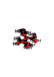 CCC(C)(CO)C(=O)OCC(C)(COC(=O)C(C)(CO)CO)C(=O)OCCOCC(COCCOC(=O)C(C)(COCC(C)(O)CO)COC(=O)C(C)(CO)CO)(COCCOC(=O)C(C)(COC(=O)C(C)(CO)CO)COC(=O)C(C)(CO)CO)COCCOC(=O)C(C)(COC(=O)C(C)(CO)CO)COC(=O)C(C)(CO)CO